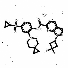 O=C(Nc1ccc(S(=O)(=O)C2CC2)cc1N1CCC2(CC1)CC2)c1ccc2cnn(C3CC(F)(F)C3)c2n1.[Na]